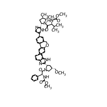 COC[C@H]1C[C@@H](c2nc3ccc4cc5c(cc4c3[nH]2)OCc2cc(-c3cnc([C@@H]4C[C@@H](C)[C@@H](C)N4C(=O)[C@@H](NC(=O)OC)C(C)C)[nH]3)ccc2-5)N(C(=O)[C@H](NC(=O)OC)c2ccccc2)C1